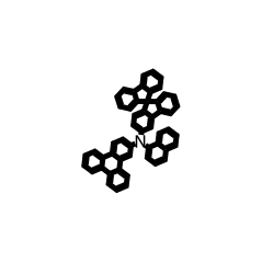 c1ccc2c(c1)-c1ccccc1C21c2ccccc2-c2cc(N(c3ccc4c5ccccc5c5ccccc5c4c3)c3cccc4ccccc34)ccc21